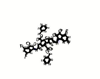 O=C1C(=O)c2c(F)cc(F)cc2/C1=C/c1cc2c(C(=O)OCc3ccccc3)c3sc4cc(/C=C5\C(=O)C(=O)c6c(F)cc(F)cc65)sc4c3c(C(=O)OCc3ccccc3)c2s1